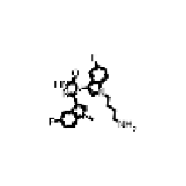 Cn1cc(-c2n[nH]c(=O)n2-c2cn(CCCCN)c3ccc(F)cc23)c2cc(F)ccc21